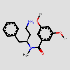 CCOc1cc(OCC)cc(C(=O)N(C)[C@H](CCN)Cc2ccccc2)c1